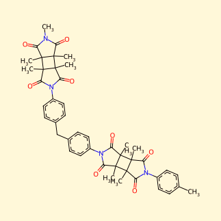 Cc1ccc(N2C(=O)C3(C)C(C)(C2=O)C2(C)C(=O)N(c4ccc(Cc5ccc(N6C(=O)C7(C)C8(C)C(=O)N(C)C(=O)C8(C)C7(C)C6=O)cc5)cc4)C(=O)C32C)cc1